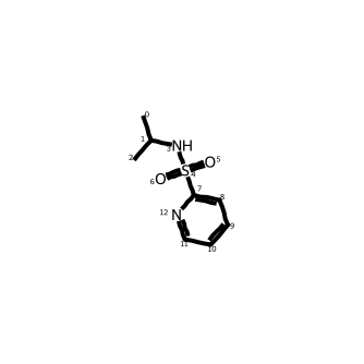 CC(C)NS(=O)(=O)c1ccccn1